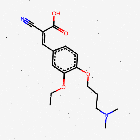 CCOc1cc(C=C(C#N)C(=O)O)ccc1OCCCN(C)C